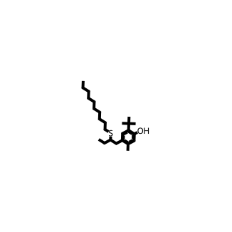 CCCCCCCCCCSC(CC)Cc1cc(C(C)(C)C)c(O)cc1C